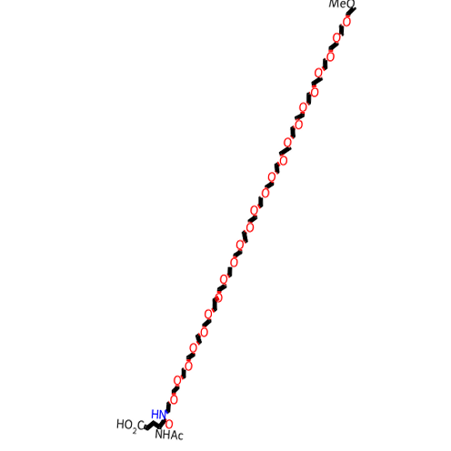 COCCOCCOCCOCCOCCOCCOCCOCCOCCOCCOCCOCCOCCOCCOCCOCCOCCOCCOCCOCCOCCOCCOCCOCCNC(=O)C(CCC(=O)O)NC(C)=O